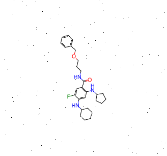 O=C(NCCCOCc1ccccc1)c1cc(F)c(NC2CCCCC2)cc1NC1CCCC1